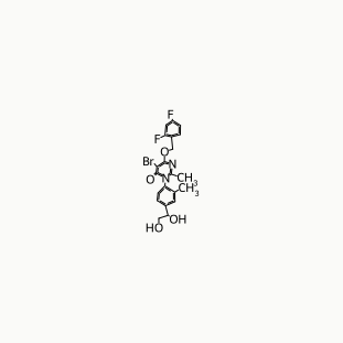 Cc1cc(C(O)CO)ccc1-n1c(C)nc(OCc2ccc(F)cc2F)c(Br)c1=O